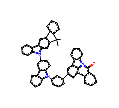 CC1(C)c2ccccc2-c2cc3c4ccccc4n(-c4ccc5c(c4)c4ccccc4n5-c4cccc(-c5cc6c7ccccc7c(=O)n7c8ccccc8c(c5)c67)c4)c3cc21